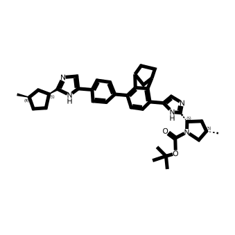 C[C@@H]1CC[C@H](c2ncc(-c3ccc(-c4ccc(-c5cnc([C@@H]6C[C@H](C)CN6C(=O)OC(C)(C)C)[nH]5)c5c4C4CCC5C4)cc3)[nH]2)C1